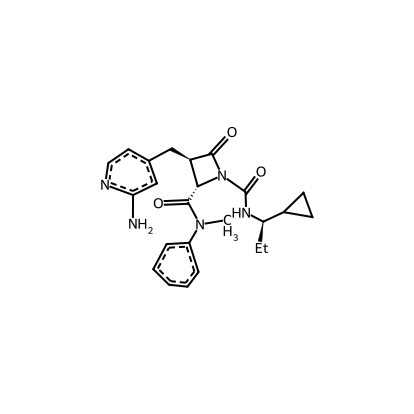 CC[C@@H](NC(=O)N1C(=O)[C@H](Cc2ccnc(N)c2)[C@H]1C(=O)N(C)c1ccccc1)C1CC1